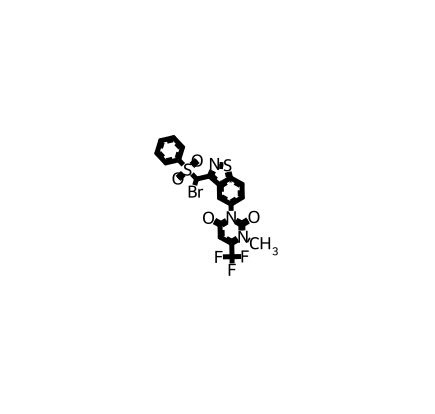 Cn1c(C(F)(F)F)cc(=O)n(-c2ccc3snc(C(Br)S(=O)(=O)c4ccccc4)c3c2)c1=O